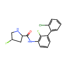 O=C(Nc1cccc(-c2ccccc2Cl)c1F)C1C[C@@H](F)CN1